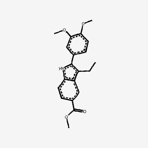 CCc1c(-c2ccc(OC)c(OC)c2)[nH]c2ccc(C(=O)OC)cc12